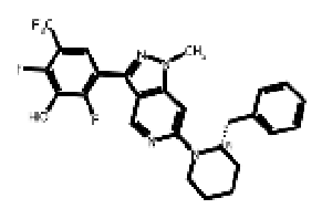 Cn1nc(-c2cc(C(F)(F)F)c(F)c(O)c2F)c2cnc(N3CCCC[C@H]3Cc3ccccc3)cc21